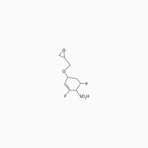 O=S(=O)(O)C1C(F)=CC(OCC2CO2)CC1F